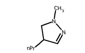 CCCC1C=NN(C)C1